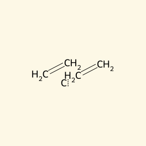 C=C.C=C.[C]